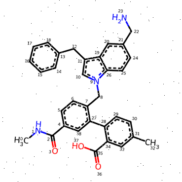 CNC(=O)c1ccc(Cn2cc(Cc3ccccc3)c3cc(CN)ccc32)c(-c2ccc(C)cc2C(=O)O)c1